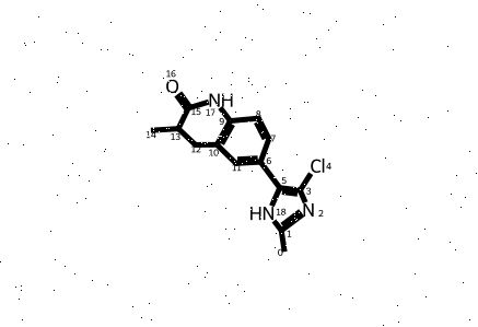 Cc1nc(Cl)c(-c2ccc3c(c2)CC(C)C(=O)N3)[nH]1